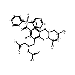 Cc1c(CN(CC(=O)O)CC(=O)O)c(C)c(C(=O)P(=O)(c2ccccc2)c2ccccc2)c(C)c1CN(CC(=O)O)CC(=O)O